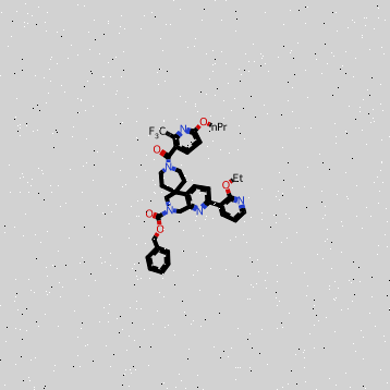 CCCOc1ccc(C(=O)N2CCC3(CC2)CN(C(=O)OCc2ccccc2)Cc2nc(-c4cccnc4OCC)ccc23)c(C(F)(F)F)n1